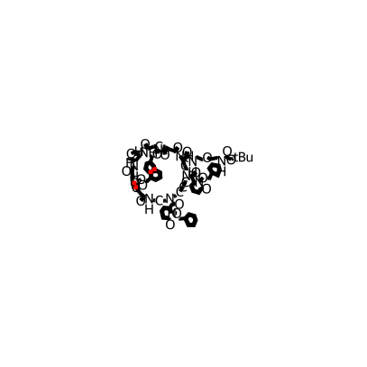 CC(C)(C)OC(=O)NCCOCCNC(=O)C1CCN(C(=O)c2cccc(=O)n2OCc2ccccc2)CCCCN(C(=O)c2cccc(=O)n2OCc2ccccc2)CCCNC(=O)c2ccc(n(OCc3ccccc3)c2=O)C(=O)N[C@@H]2COC[C@@H]2NC(=O)c2ccc(c(=O)n2OCc2ccccc2)C(=O)N1